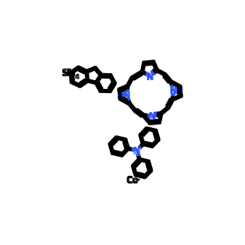 C1=Cc2cc3ccc(cc4nc(cc5ccc(cc1n2)[nH]5)C=C4)[nH]3.[Co].[SiH4].c1ccc(N(c2ccccc2)c2ccccc2)cc1.c1ccc2c(c1)Cc1ccccc1-2